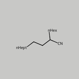 [CH2]CCCCCCCCC(C#N)CCCCC[CH2]